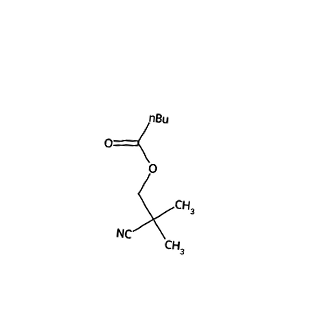 CCCCC(=O)OCC(C)(C)C#N